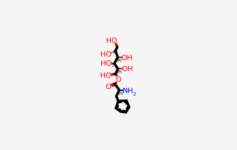 N[C@@H](Cc1ccccc1)C(=O)OC(O)[C@H](O)[C@@H](O)[C@H](O)[C@H](O)CO